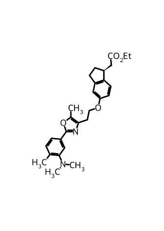 CCOC(=O)C[C@@H]1CCc2cc(OCCc3nc(-c4ccc(C)c(N(C)C)c4)oc3C)ccc21